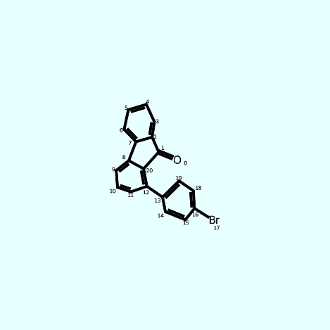 O=C1c2ccccc2-c2cccc(-c3ccc(Br)cc3)c21